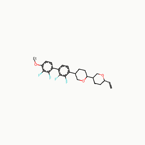 C=CC1CCC(C2CCC(c3ccc(-c4ccc(OCC)c(F)c4F)c(F)c3F)CO2)CO1